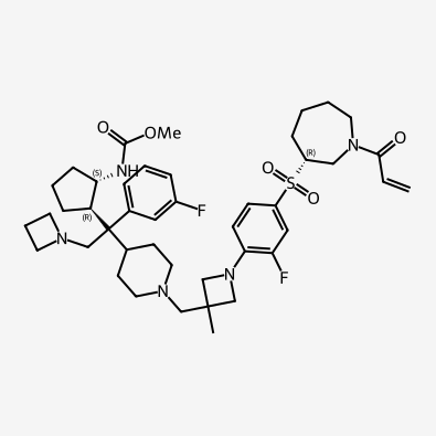 C=CC(=O)N1CCCC[C@@H](S(=O)(=O)c2ccc(N3CC(C)(CN4CCC(C(CN5CCC5)(c5cccc(F)c5)[C@H]5CCC[C@@H]5NC(=O)OC)CC4)C3)c(F)c2)C1